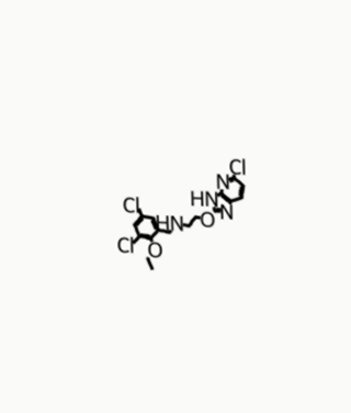 CCOc1c(Cl)cc(Cl)cc1CNCCOc1nc2ccc(Cl)nc2[nH]1